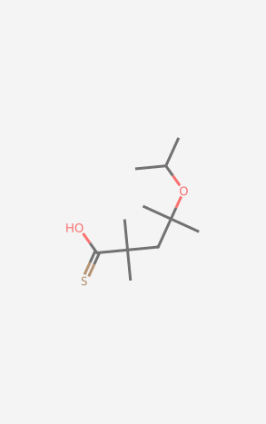 CC(C)OC(C)(C)CC(C)(C)C(O)=S